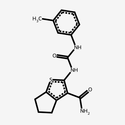 Cc1cccc(NC(=O)Nc2sc3c(c2C(N)=O)CCC3)c1